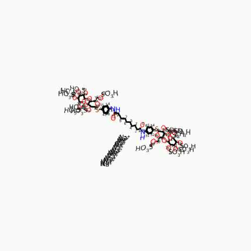 O=C(CCCCCCCCC(=O)Nc1ccc(S[C@@H]2O[C@H](COS(=O)(=O)O)[C@@H](O[C@H]3O[C@H](COS(=O)(=O)O)[C@@H](OS(=O)(=O)O)[C@H](OS(=O)(=O)O)[C@H]3OS(=O)(=O)O)[C@H](OS(=O)(=O)O)[C@H]2OS(=O)(=O)O)cc1)Nc1ccc(S[C@@H]2O[C@H](COS(=O)(=O)O)[C@@H](O[C@H]3O[C@H](COS(=O)(=O)O)[C@@H](OS(=O)(=O)O)[C@H](OS(=O)(=O)O)[C@H]3OS(=O)(=O)O)[C@H](OS(=O)(=O)O)[C@H]2OS(=O)(=O)O)cc1.[Na+].[Na+].[Na+].[Na+].[Na+].[Na+].[Na+].[Na+].[Na+].[Na+].[Na+].[Na+].[Na+].[Na+]